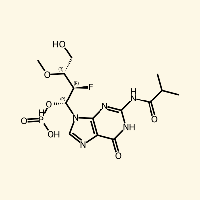 CO[C@H](CO)[C@@H](F)[C@@H](O[PH](=O)O)n1cnc2c(=O)[nH]c(NC(=O)C(C)C)nc21